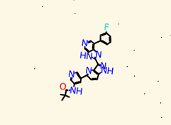 CC(C)(C)C(=O)Nc1cncc(-c2ccc3[nH]nc(-c4nc5c(-c6cccc(F)c6)cncc5[nH]4)c3n2)c1